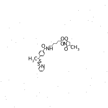 CC1CC(=O)N(OC(=O)CCCCCNC(=O)c2ccc(C(C)SSc3ccccn3)cc2)C1=O